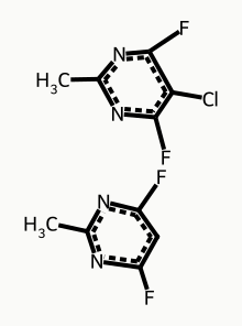 Cc1nc(F)c(Cl)c(F)n1.Cc1nc(F)cc(F)n1